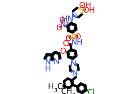 CC1(C)CCC(CN2CCN(c3ccc(C(=O)NS(=O)(=O)c4ccc(NN5CCS(O)(O)CC5)c([N+](=O)[O-])c4)c(Oc4cnc5[nH]ccc5c4)c3)CC2)=C(c2ccc(Cl)cc2)C1